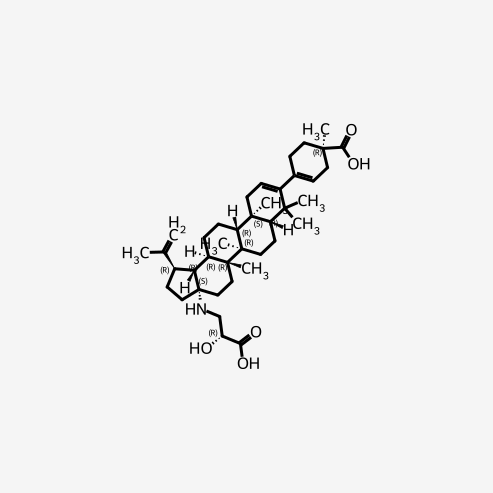 C=C(C)[C@@H]1CC[C@]2(NC[C@@H](O)C(=O)O)CC[C@]3(C)[C@H](CC[C@@H]4[C@@]5(C)CC=C(C6=CC[C@](C)(C(=O)O)CC6)C(C)(C)[C@@H]5CC[C@]43C)[C@@H]12